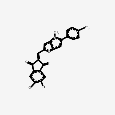 Cn1c(-c2ccc(C(F)(F)F)cc2)cc2sc(C=C3C(=O)c4cc(Cl)c(Cl)cc4C3=O)cc21